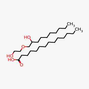 CCCCCCCCC(O)COCCO.CCCCCCCCCCCCCC(=O)O